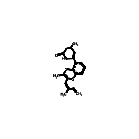 C=C/C(C)=C\C1=C(C)Sc2c(cccc2C2=CC(C)CC(=O)N2)S1